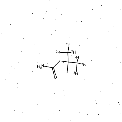 [2H]C([2H])([2H])C(C)(CC(N)=O)C([2H])([2H])[2H]